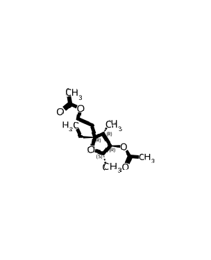 CC[C@]1(CCOC(C)=O)O[C@@H](C)[C@H](OC(C)=O)[C@H]1C